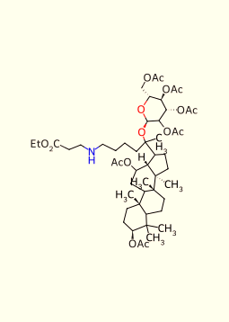 CCOC(=O)CCNCCCCC(C)(O[C@H]1O[C@H](COC(C)=O)[C@@H](OC(C)=O)[C@H](OC(C)=O)C1OC(C)=O)C1CC[C@]2(C)[C@@H]1C(OC(C)=O)CC1[C@@]3(C)CC[C@H](OC(C)=O)C(C)(C)C3CC[C@]12C